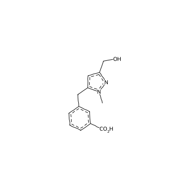 Cn1nc(CO)cc1Cc1cccc(C(=O)O)c1